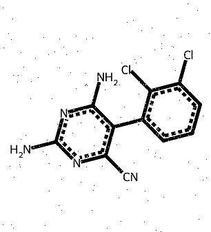 N#Cc1nc(N)nc(N)c1-c1cccc(Cl)c1Cl